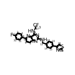 Fc1ccc(-c2ccc3nc(NCc4ccc(-c5csnn5)cc4)nc(NCC(F)(F)F)c3n2)cc1